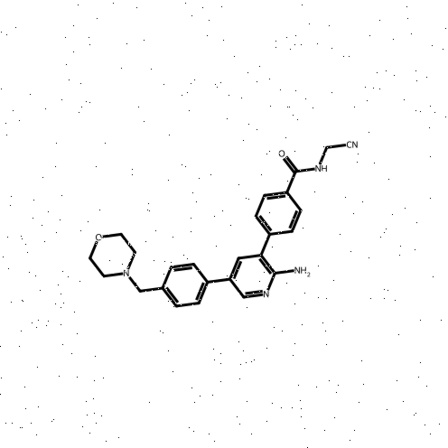 N#CCNC(=O)c1ccc(-c2cc(-c3ccc(CN4CCOCC4)cc3)cnc2N)cc1